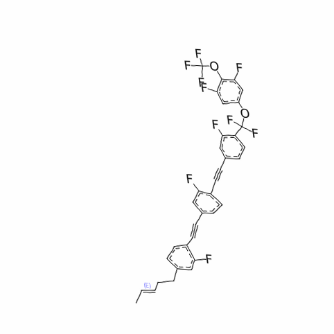 C/C=C/CCc1ccc(C#Cc2ccc(C#Cc3ccc(C(F)(F)Oc4cc(F)c(OC(F)(F)F)c(F)c4)c(F)c3)c(F)c2)c(F)c1